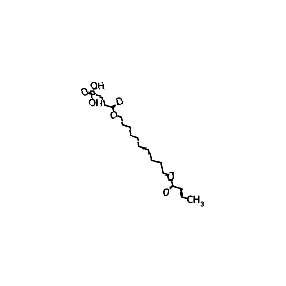 CC=CC(=O)OCCCCCCCCCCOC(=O)CCP(=O)(O)O